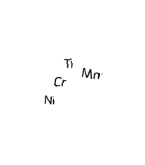 [Cr].[Mn].[Ni].[Ti]